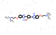 CN(C)CCCOc1ccc2nc(-c3ccc(-c4nc5ccc(OCCCN(C)C)cc5[nH]4)c(Br)c3)[nH]c2c1